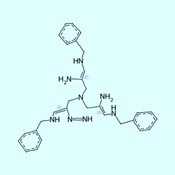 N=N/C(=C\NCc1ccccc1)CN(C/C(N)=C/NCc1ccccc1)C/C(N)=C/NCc1ccccc1